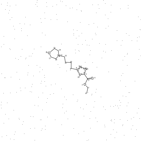 CCOC(=O)c1nnc(CCCCN2CCOCC2)s1